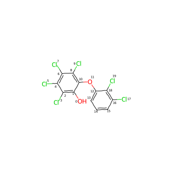 Oc1c(Cl)c(Cl)c(Cl)c(Cl)c1Oc1cccc(Cl)c1Cl